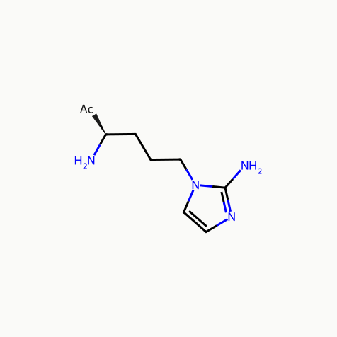 CC(=O)[C@H](N)CCCn1ccnc1N